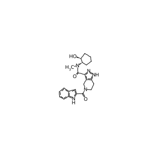 CN(C(=O)c1n[nH]c2c1CN(C(=O)c1cc3ccccc3[nH]1)CC2)[C@@H]1CCCC[C@@H]1O